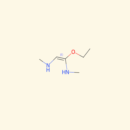 CCO/C(=C/NC)NC